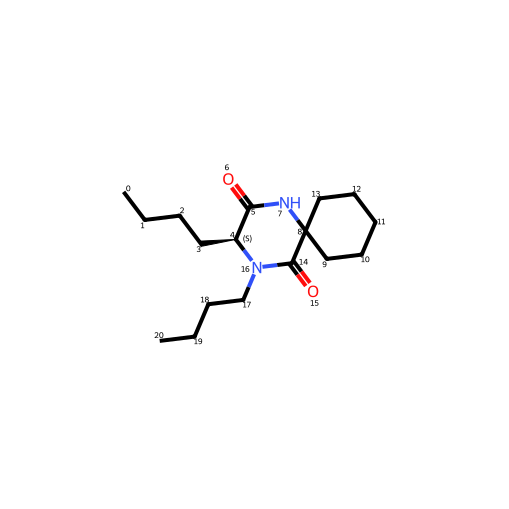 CCCC[C@H]1C(=O)NC2(CCCCC2)C(=O)N1CCCC